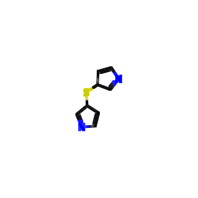 C1=CC(SC2C=CN=C2)C=N1